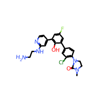 CN1CCN(c2ccc(-c3cc(F)cc(-c4ccnc(NCCN)c4)c3O)cc2Cl)C1=O